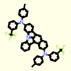 Cc1ccc(N(c2cccc(C(F)(F)F)c2)c2ccc3cc4c5ccc(N(c6ccc(C)cc6)c6cccc(C(F)(F)F)c6)cc5n5c6ccccc6c(c3c2)c45)cc1